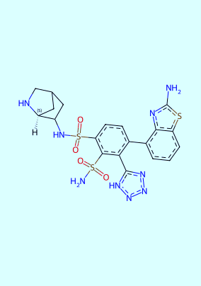 Nc1nc2c(-c3ccc(S(=O)(=O)NC4CC5CN[C@H]4C5)c(S(N)(=O)=O)c3-c3nnn[nH]3)cccc2s1